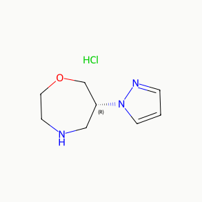 Cl.c1cnn([C@@H]2CNCCOC2)c1